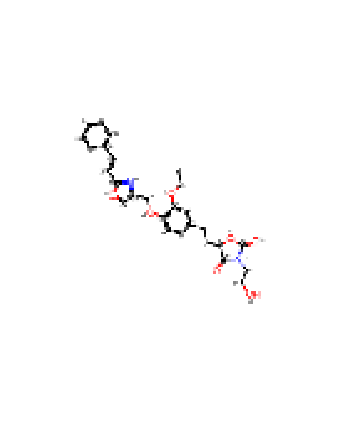 CCOc1cc(CCC2OC(=O)N(CCO)C2=O)ccc1OCc1coc(C=Cc2ccccc2)n1